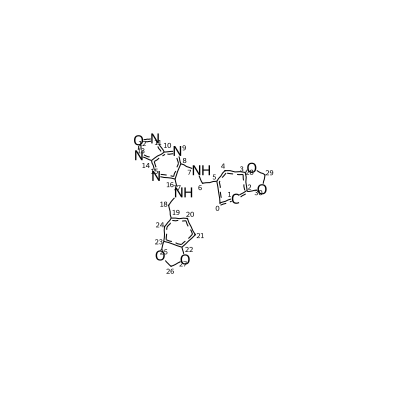 c1cc2c(cc1CNc1nc3nonc3nc1NCc1ccc3c(c1)OCO3)OCO2